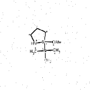 CO[Si]1([Si](C)(C)C)CCCN1